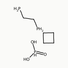 C1CCC1.O=[PH](O)O.PCCP